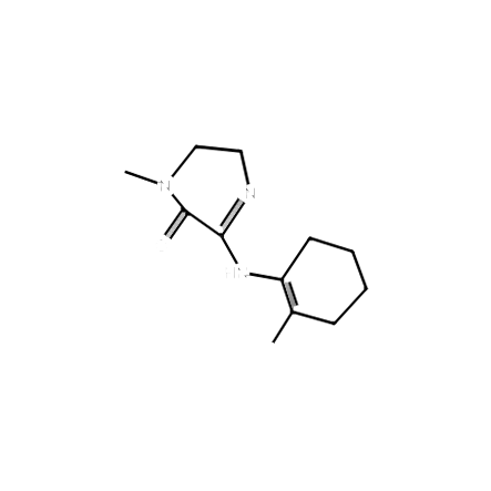 CC1=C(NC2=NCCN(C)C2=O)CCCC1